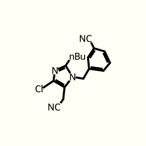 CCCCc1nc(Cl)c(CC#N)n1Cc1cccc(C#N)c1